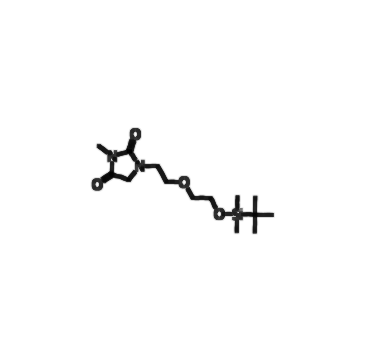 CN1C(=O)CN(CCOCCO[Si](C)(C)C(C)(C)C)C1=O